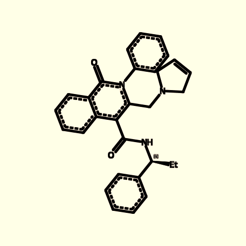 CC[C@H](NC(=O)c1c(CN2CC=CC2)n(-c2ccccc2)c(=O)c2ccccc12)c1ccccc1